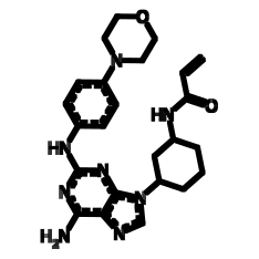 C=CC(=O)NC1CCCC(n2cnc3c(N)nc(Nc4ccc(N5CCOCC5)cc4)nc32)C1